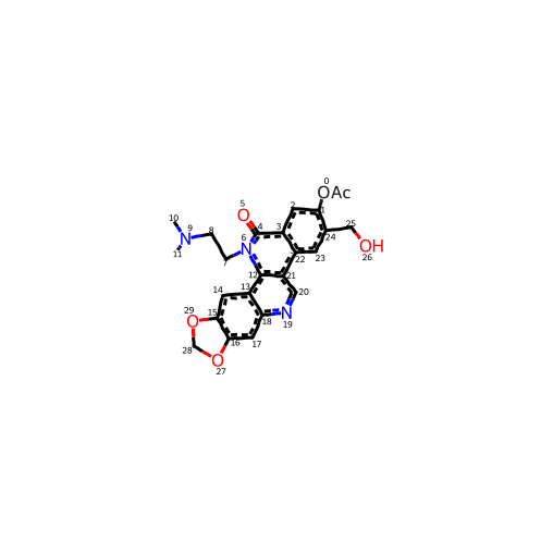 CC(=O)Oc1cc2c(=O)n(CCN(C)C)c3c4cc5c(cc4ncc3c2cc1CO)OCO5